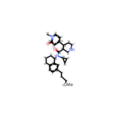 COCCCc1ccc2c(c1)C(N(C(=O)C1CNCCC1c1ccn(C)c(=O)c1)C1CC1)CCC2